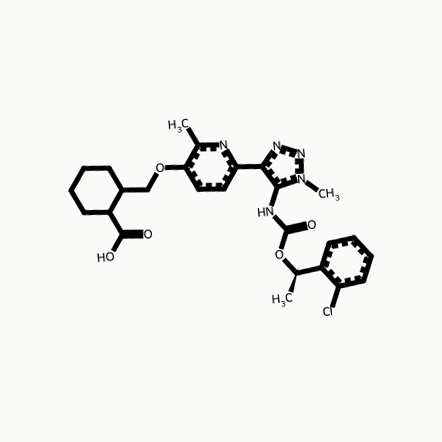 Cc1nc(-c2nnn(C)c2NC(=O)O[C@H](C)c2ccccc2Cl)ccc1OCC1CCCCC1C(=O)O